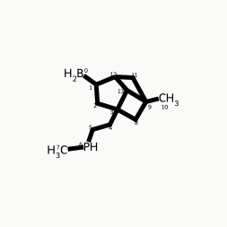 BC1CC2(CCPC)CC3(C)CC1C32